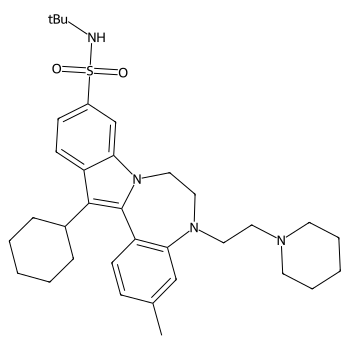 Cc1ccc2c(c1)N(CCN1CCCCC1)CCn1c-2c(C2CCCCC2)c2ccc(S(=O)(=O)NC(C)(C)C)cc21